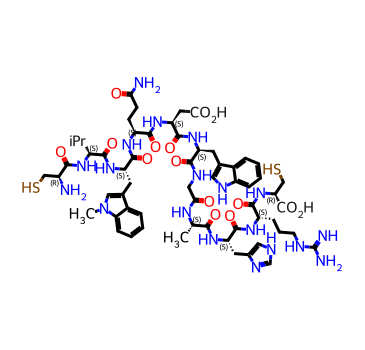 CC(C)[C@H](NC(=O)[C@@H](N)CS)C(=O)N[C@@H](Cc1cn(C)c2ccccc12)C(=O)N[C@@H](CCC(N)=O)C(=O)N[C@@H](CC(=O)O)C(=O)N[C@@H](Cc1c[nH]c2ccccc12)C(=O)NCC(=O)N[C@@H](C)C(=O)N[C@@H](Cc1c[nH]cn1)C(=O)N[C@@H](CCCNC(=N)N)C(=O)N[C@@H](CS)C(=O)O